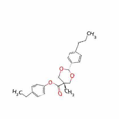 CCCc1ccc([C@H]2OC[C@@](C)(C(=O)Oc3ccc(CC)cc3)CO2)cc1